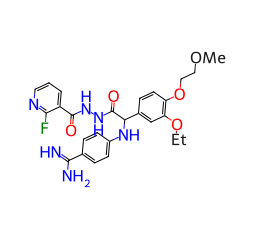 CCOc1cc(C(Nc2ccc(C(=N)N)cc2)C(=O)NNC(=O)c2cccnc2F)ccc1OCCOC